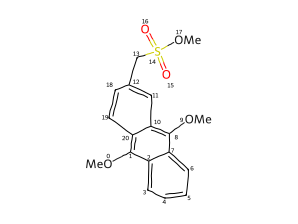 COc1c2ccccc2c(OC)c2cc(CS(=O)(=O)OC)ccc12